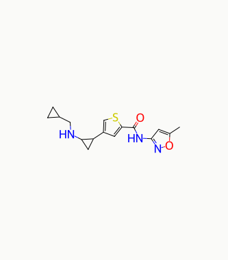 Cc1cc(NC(=O)c2cc(C3CC3NCC3CC3)cs2)no1